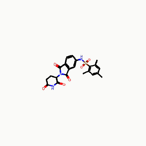 Cc1cc(C)c(S(=O)(=O)Nc2ccc3c(c2)C(=O)N(C2CCC(=O)NC2=O)C3=O)c(C)c1